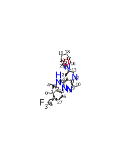 Cc1c([C@@H](C)Nc2nnc(C)c3ncc(N4CC5CCC(C4)O5)cc23)cccc1C(F)(F)F